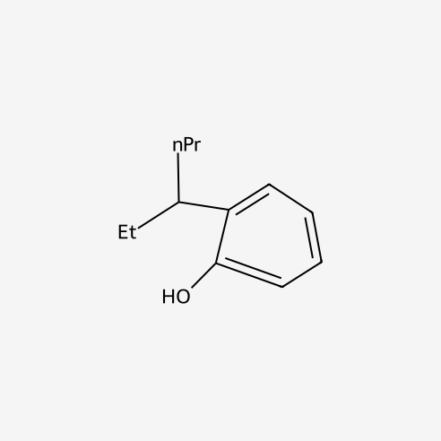 CCCC(CC)c1ccccc1O